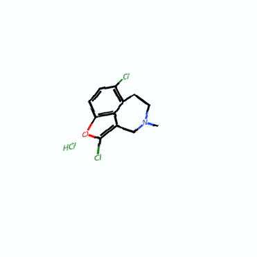 CN1CCc2c(Cl)ccc3oc(Cl)c(c23)C1.Cl